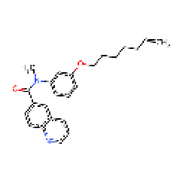 C=CCCCCCOc1cccc(N(C)C(=O)c2ccc3ncccc3c2)c1